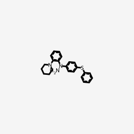 NN(c1ccc(Sc2ccccc2)cc1)c1ccccc1N1CCCCC1